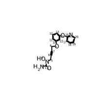 NC(=O)N(O)CC#CCOc1cccc(Oc2ccccn2)c1